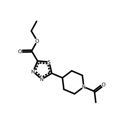 CCOC(=O)c1nnc(C2CCN(C(C)=O)CC2)s1